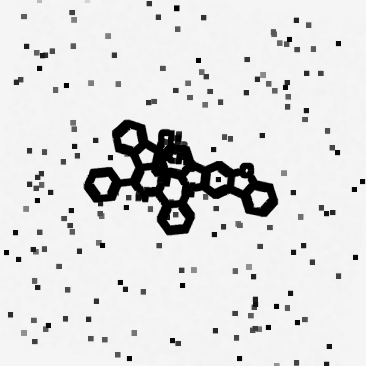 CC1(C)c2ccccc2-c2c(-c3ccccc3)nc(-c3ccccc3-n3c4ccccc4c4cc5oc6ccccc6c5cc43)nc21